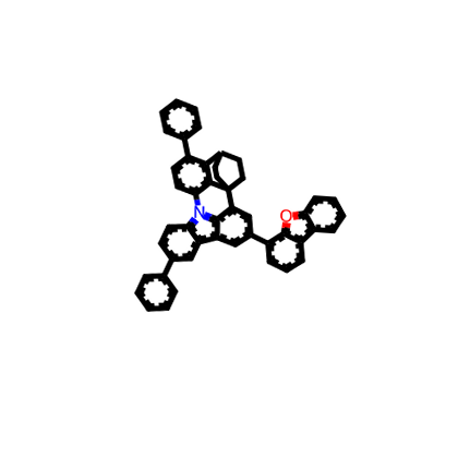 c1ccc(-c2ccc3c(c2)c2cc(-c4cccc5c4oc4ccccc45)cc4c2n3-c2ccc(-c3ccccc3)c3c2C42CCC3CC2)cc1